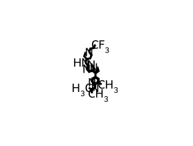 CC(C)=Nc1ncc(-c2ccn3nc(NC4CCN(CCC(F)(F)F)CC4)ncc23)cc1C